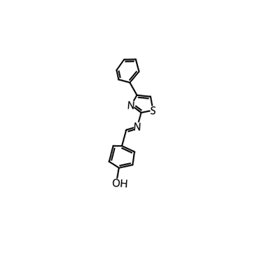 Oc1ccc(C=Nc2nc(-c3ccccc3)cs2)cc1